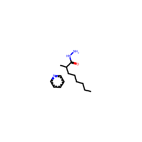 CCCCCCC(C)C(=O)NN.c1ccncc1